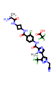 C[C@@H](N)C(=O)NC1CC(NC(=O)c2ccc(NC(=O)c3ncc(-c4cn(CC#N)nc4C(F)(F)F)n3C)cc2Cl)C1.O=C(O)C(F)(F)F